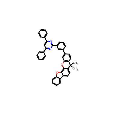 CC1(C)c2ccc(-c3cccc(-c4nc(-c5ccccc5)cc(-c5ccccc5)n4)c3)cc2Oc2c1ccc1c2oc2ccccc21